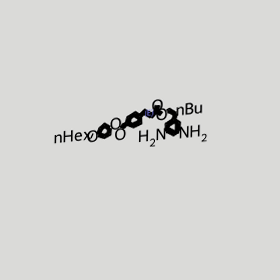 CCCCCCOC1CCC(OC(=O)c2ccc(/C=C/C(=O)OCC(CCCC)c3cc(N)cc(N)c3)cc2)CC1